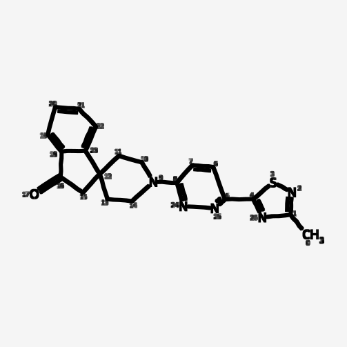 Cc1nsc(-c2ccc(N3CCC4(CC3)CC(=O)c3ccccc34)nn2)n1